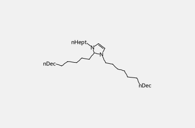 CCCCCCCCCCCCCCCCN1C=CN(CCCCCCC)C1CCCCCCCCCCCCCCC